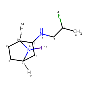 CC(F)CNC1C[C@H]2CC[C@@H]1N2I